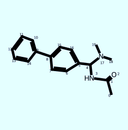 CC(=O)NC(c1ccc(-c2ccccc2)cc1)N(C)C